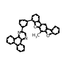 Cc1c2oc3ccccc3c2cc2c1oc1c(-c3cccc(-c4cnc5c6ccccc6c6ccccc6c5n4)c3)cccc12